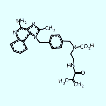 C=C(C)C(=O)NCCN(Cc1ccc(Cn2c(C)nc3c(N)nc4ccccc4c32)cc1)C(=O)O